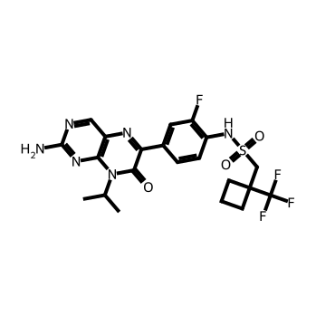 CC(C)n1c(=O)c(-c2ccc(NS(=O)(=O)CC3(C(F)(F)F)CCC3)c(F)c2)nc2cnc(N)nc21